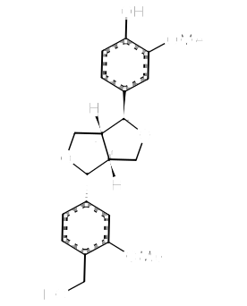 COc1cc([C@H]2OC[C@H]3[C@@H]2CO[C@H]3c2ccc(CO)c(OC)c2)ccc1O